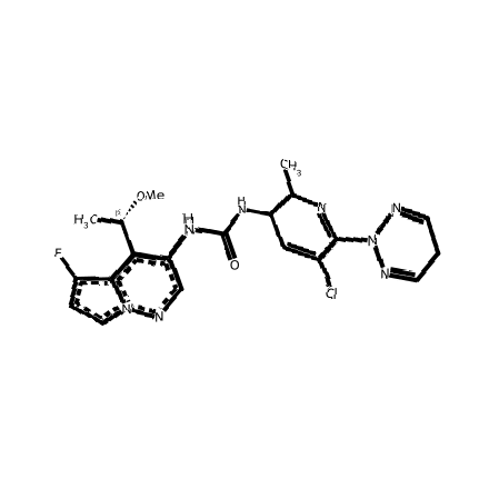 CO[C@@H](C)c1c(NC(=O)NC2C=C(Cl)C(N3N=CCC=N3)=NC2C)cnn2ccc(F)c12